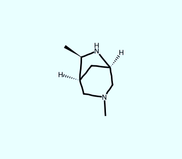 C[C@H]1N[C@@H]2C[C@H]1CN(C)C2